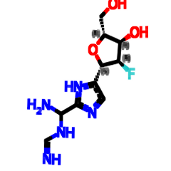 N=CNC(N)c1ncc([C@@H]2O[C@H](CO)[C@@H](O)[C@H]2F)[nH]1